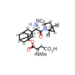 CN[C@@H](CC(=O)O)C(=O)OC12CC3CC(C1)CC([C@H](N)C(=O)N1[C@H](C#N)C[C@@H]4C[C@@H]41)(C3)C2